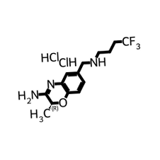 C[C@H]1Oc2ccc(CNCCCC(F)(F)F)cc2N=C1N.Cl.Cl